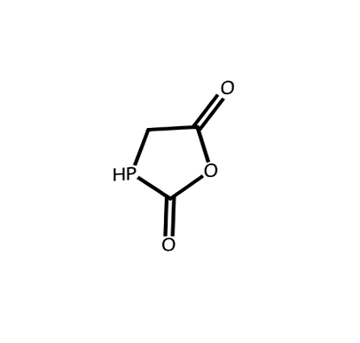 O=C1CPC(=O)O1